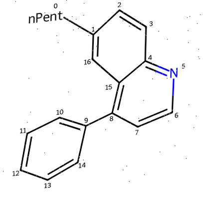 CCCCCc1ccc2nccc(-c3ccccc3)c2c1